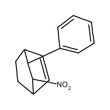 O=[N+]([O-])C1C2C=CC(CC2)C1c1ccccc1